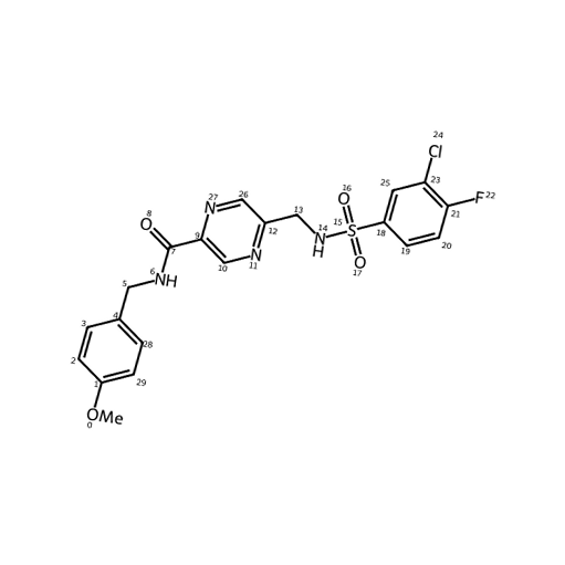 COc1ccc(CNC(=O)c2cnc(CNS(=O)(=O)c3ccc(F)c(Cl)c3)cn2)cc1